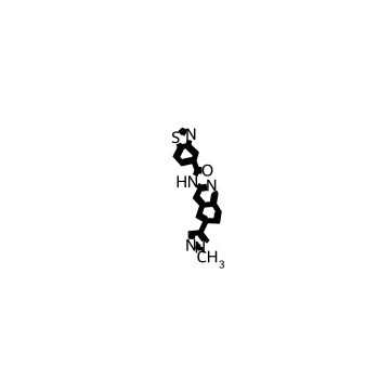 Cn1cc(-c2ccc3cnc(NC(=O)c4ccc5scnc5c4)cc3c2)cn1